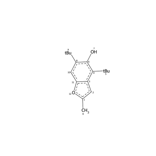 Cc1cc2c(C(C)(C)C)c(O)c(C(C)(C)C)cc2o1